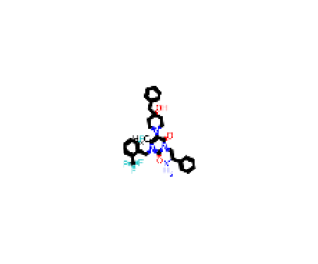 Cc1c(N2CCC(O)(Cc3ccccc3)CC2)c(=O)n(C[C@@H](N)c2ccccc2)c(=O)n1Cc1c(F)cccc1C(F)(F)F